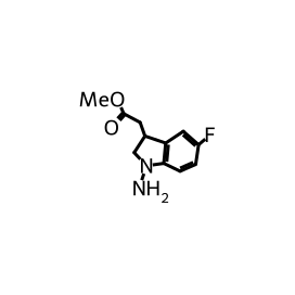 COC(=O)CC1CN(N)c2ccc(F)cc21